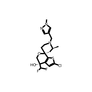 C[C@H]1C[C@@]2(CCN1Cc1cnn(C)c1)OC[C@](O)(C(F)F)c1cc(Cl)sc12